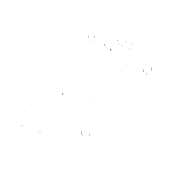 O=C(O)c1cc(Oc2ncc(C(F)(F)F)cc2Cl)ccc1[N+](=O)[O-]